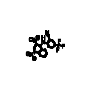 N#Cc1cc(C(F)(F)F)ccc1Nc1c([N+](=O)[O-])cc([N+](=O)[O-])c2ccccc12